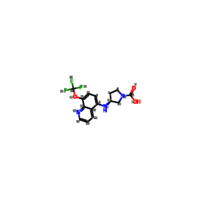 O=C(O)N1CC[C@H](Nc2ccc(OC(F)(F)F)c3ncccc23)C1